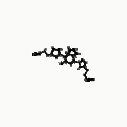 CCCCCCCCCCCCc1csc(-c2cc(F)c(-c3cc(CCCCCCCCCCCC)cs3)c3nsnc23)c1